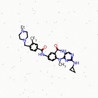 CCN1CCN(Cc2ccc(C(=O)Nc3ccc4c(c3)C(=O)Nc3cnc(NC5CC5)nc3N4C)cc2C(F)(F)F)CC1